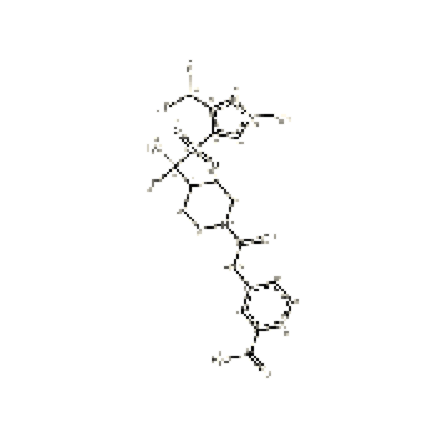 CC(=O)c1cc(NC(=O)N2CCC([C@@](C)(F)S(=O)(=O)c3cn(C)nc3C(F)F)CC2)ccn1